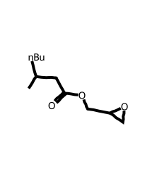 CCCCC(C)CC(=O)OCC1CO1